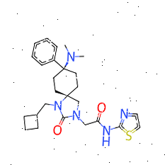 CN(C)[C@]1(c2ccccc2)CC[C@@]2(CC1)CN(CC(=O)Nc1nccs1)C(=O)N2CC1CCC1